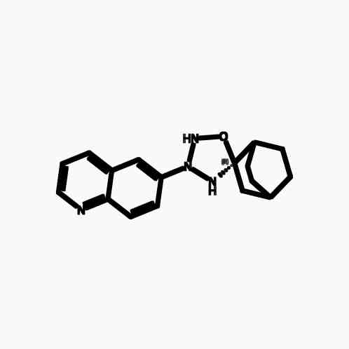 c1cnc2ccc(N3NO[C@@]4(CC5CCC4CC5)N3)cc2c1